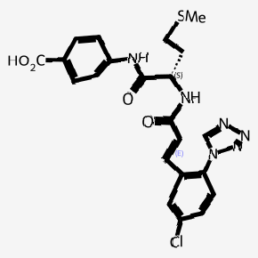 CSCC[C@H](NC(=O)/C=C/c1cc(Cl)ccc1-n1cnnn1)C(=O)Nc1ccc(C(=O)O)cc1